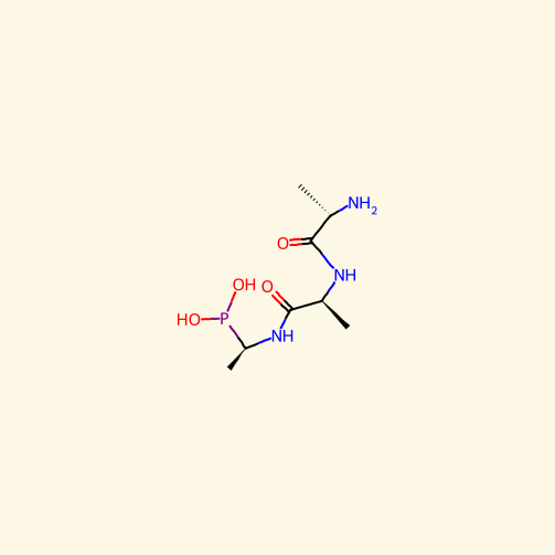 C[C@H](N)C(=O)N[C@@H](C)C(=O)N[C@@H](C)P(O)O